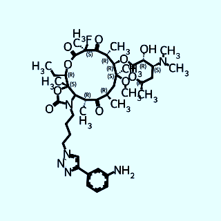 CC[C@H]1OC(=O)[C@@](C)(F)C(=O)[C@H](C)[C@@H](O[C@@H]2O[C@H](C)C[C@H](N(C)C)[C@H]2O)[C@@](C)(OC)C[C@@H](C)C(=O)[C@H](C)C2N(CCCCn3cc(-c4cccc(N)c4)nn3)C(=O)O[C@@]21C